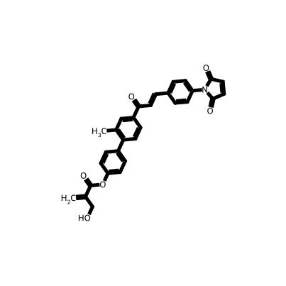 C=C(CO)C(=O)Oc1ccc(-c2ccc(C(=O)/C=C/c3ccc(N4C(=O)C=CC4=O)cc3)cc2C)cc1